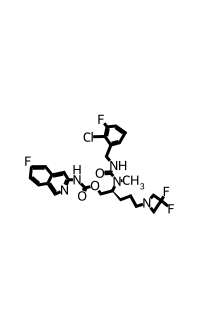 CN(C(=O)NCc1cccc(F)c1Cl)[C@@H](CCCN1CC(F)(F)C1)COC(=O)Nc1cc2cc(F)ccc2cn1